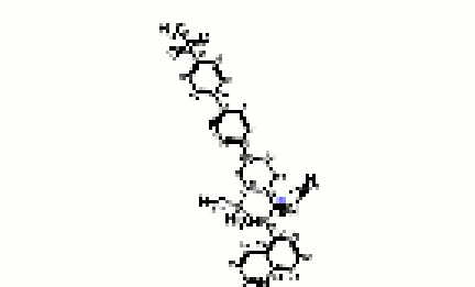 CC(C)[C@@H]1CN(c2ccc(-c3ccc(S(C)(=O)=O)cc3)nn2)CCN1/C(=N\C#N)Nc1cccc2ncccc12